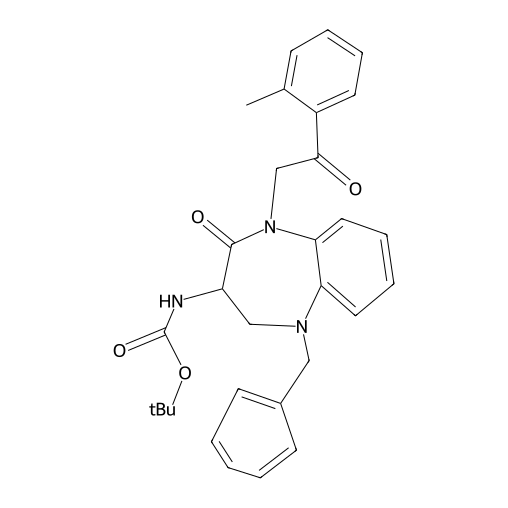 Cc1ccccc1C(=O)CN1C(=O)C(NC(=O)OC(C)(C)C)CN(Cc2ccccc2)c2ccccc21